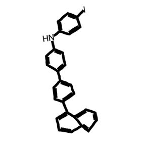 Ic1ccc(Nc2ccc(-c3ccc(-c4cccc5ccccc45)cc3)cc2)cc1